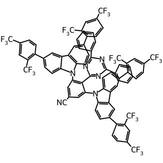 N#Cc1cc(-n2c3ccc(-c4ccc(C(F)(F)F)cc4C(F)(F)F)cc3c3cc(-c4ccc(C(F)(F)F)cc4C(F)(F)F)ccc32)c(-c2nc(-c3ccccc3)nc(-c3ccccc3)n2)c(-n2c3ccc(-c4ccc(C(F)(F)F)cc4C(F)(F)F)cc3c3cc(-c4ccc(C(F)(F)F)cc4C(F)(F)F)ccc32)c1